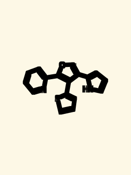 [c]1oc(-c2ccccn2)c(-c2cccs2)c1-c1ccc[nH]1